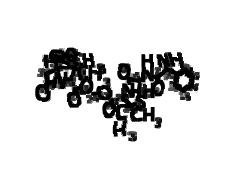 CC1(C)S[C@@H]2C(NC(=O)C(N)c3ccccc3)C(=O)N2[C@H]1C(=O)OCOC(=O)[C@@H]1N2C(=O)C[C@H]2S(=O)(=O)C1(C)C